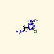 CCNc1nc(Cl)nc(C(C)CN)n1